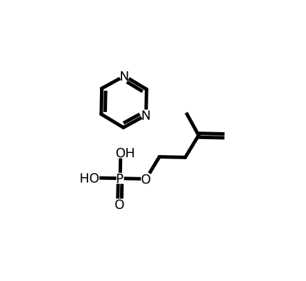 C=C(C)CCOP(=O)(O)O.c1cncnc1